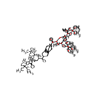 CC(C)(C)OC(=O)NCC(NC(=O)OC(C)(C)C)C(=O)C1CC23CN(C(=O)C(CNC(=O)OC(C)(C)C)NC(=O)OC(C)(C)C)CC2(C1)CN(C(=O)C(CNC(=O)OC(C)(C)C)NC(=O)OC(C)(C)C)C3